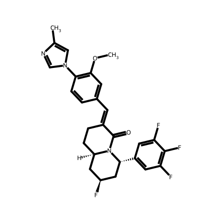 COc1cc(/C=C2\CC[C@@H]3C[C@H](F)C[C@@H](c4cc(F)c(F)c(F)c4)N3C2=O)ccc1-n1cnc(C)c1